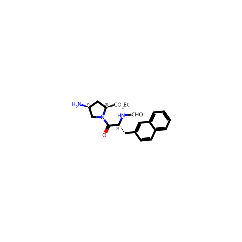 CCOC(=O)[C@@H]1C[C@H](N)CN1C(=O)[C@@H](Cc1ccc2ccccc2c1)NC=O